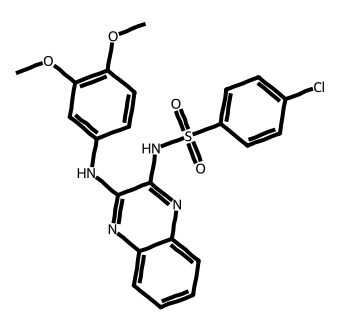 COc1ccc(Nc2nc3ccccc3nc2NS(=O)(=O)c2ccc(Cl)cc2)cc1OC